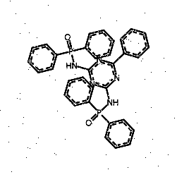 O=P(Nc1nc(NP(=O)(c2ccccc2)c2ccccc2)nc(-c2ccccc2)n1)(c1ccccc1)c1ccccc1